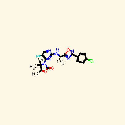 CC1OC(=O)N(c2nc(N[C@@H](C)c3nc(-c4ccc(Cl)cc4)no3)ncc2F)C1(C)C